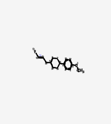 COc1ccc(C2CCC(C/C=C/F)CC2)cc1